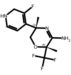 C[C@]1(C2=C(F)CN[C]=C2)CO[C@@](C)(C(F)(F)F)C(N)=N1